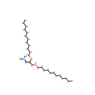 CCCCCCCCCCCCOCC(C=[N+](C)C)OCCCCCCCCCCCC